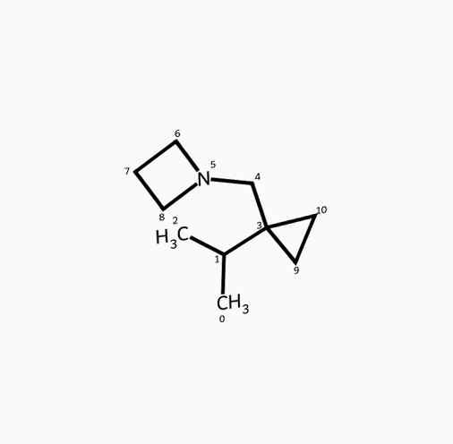 CC(C)C1(CN2CCC2)CC1